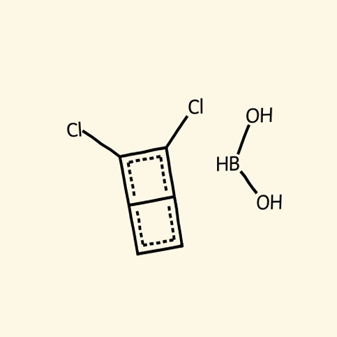 Clc1c2ccc-2c1Cl.OBO